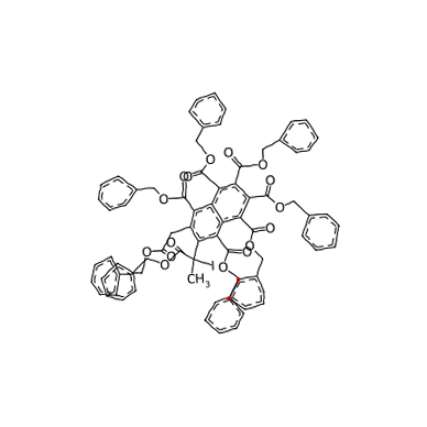 CC(I)(C(=O)OCc1ccccc1)c1c(CC(=O)OCc2ccccc2)c(C(=O)OCc2ccccc2)c2c(C(=O)OCc3ccccc3)c(C(=O)OCc3ccccc3)c(C(=O)OCc3ccccc3)c(C(=O)OCc3ccccc3)c2c1C(=O)OCc1ccccc1